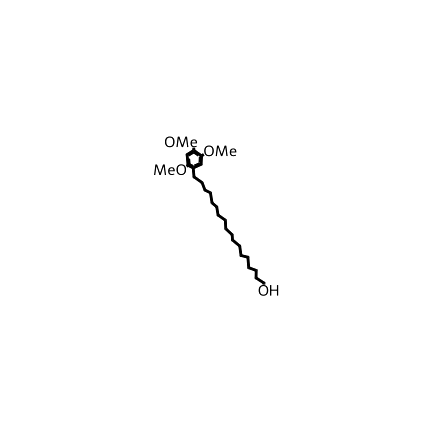 COc1cc(OC)c(OC)cc1CCCCCCCCCCCCCCCCCCO